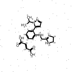 CC(C)n1nccc1-c1ccccc1NCC1=NCCN1.O=C(O)/C=C/C(=O)O